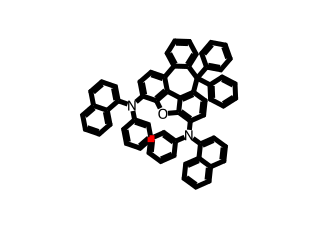 c1ccc(N(c2cccc3ccccc23)c2ccc3c4c2oc2c(N(c5ccccc5)c5cccc6ccccc56)ccc(c24)C(c2ccccc2)(c2ccccc2)c2ccccc2-3)cc1